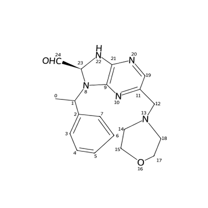 CC(c1ccccc1)N1c2nc(CN3CCOCC3)cnc2N[C@@H]1C=O